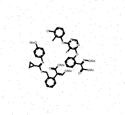 CNC(=O)C(=NOC)c1ccccc1Oc1ncnc(Oc2cccc(Cl)c2C)c1F.COC=C(C(=O)OC)c1ccccc1CSC(=Nc1ccc(OC)cc1)C1CC1